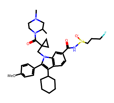 COc1ccc(-c2c(C3CCCCC3)c3ccc(C(=O)N[S+]([O-])CCCF)cc3n2CC2(C(=O)N3CCN(C)CC3C)CC2)cc1